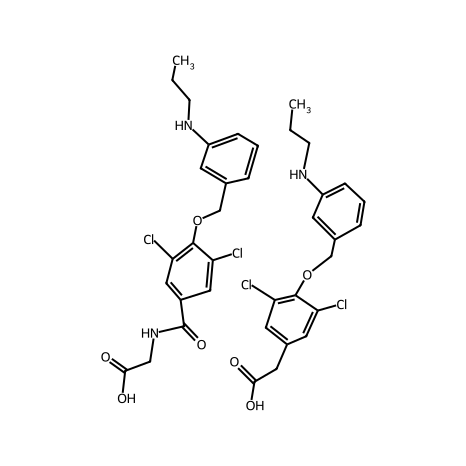 CCCNc1cccc(COc2c(Cl)cc(C(=O)NCC(=O)O)cc2Cl)c1.CCCNc1cccc(COc2c(Cl)cc(CC(=O)O)cc2Cl)c1